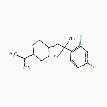 CC(C)C1CCC(CC(C)(C)c2ccc(Cl)cc2F)CC1